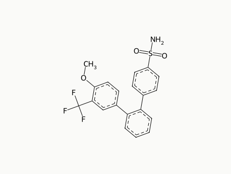 COc1ccc(-c2ccccc2-c2ccc(S(N)(=O)=O)cc2)cc1C(F)(F)F